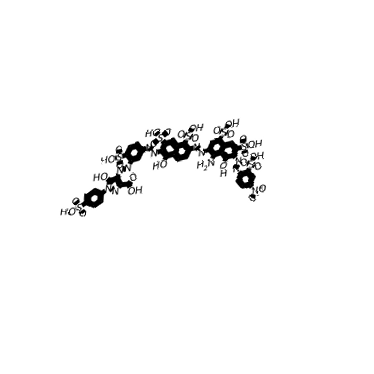 Nc1c(N=Nc2ccc3c(O)c(N=Nc4ccc(S(=O)(=O)O)c(/N=N/c5c(C(=O)O)nn(-c6ccc(S(=O)(=O)O)cc6)c5O)c4)c(S(=O)(=O)O)cc3c2S(=O)(=O)O)cc(S(=O)(=O)O)c2cc(S(=O)(=O)O)c(N=Nc3ccc([N+](=O)[O-])cc3S(=O)(=O)O)c(O)c12